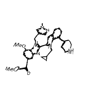 COC(=O)c1cc(OC)c2c(c1)nc(-c1cc3cccc(C4CCNCC4)c3n1CC1CC1)n2Cc1cnn(C)c1